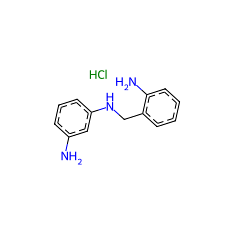 Cl.Nc1cccc(NCc2ccccc2N)c1